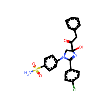 NS(=O)(=O)c1ccc(N2CC(O)(C(=O)Cc3ccccc3)N=C2c2ccc(Cl)cc2)cc1